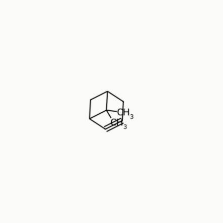 CC1(C)C2C#CCC1C2